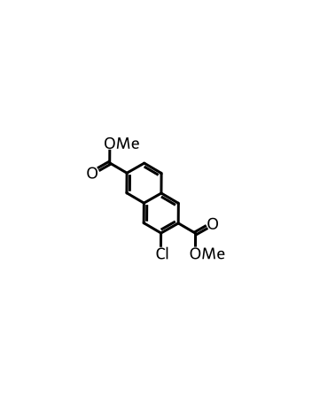 COC(=O)c1ccc2cc(C(=O)OC)c(Cl)cc2c1